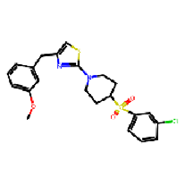 COc1cccc(Cc2csc(N3CCC(S(=O)(=O)c4cccc(Cl)c4)CC3)n2)c1